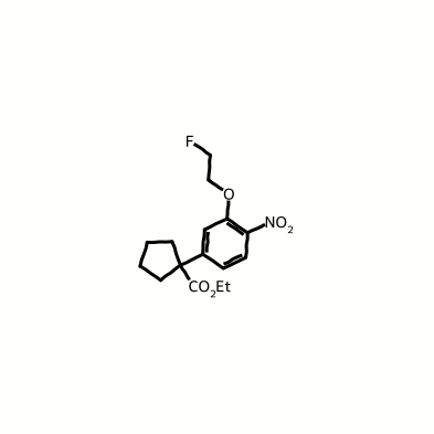 CCOC(=O)C1(c2ccc([N+](=O)[O-])c(OCCF)c2)CCCC1